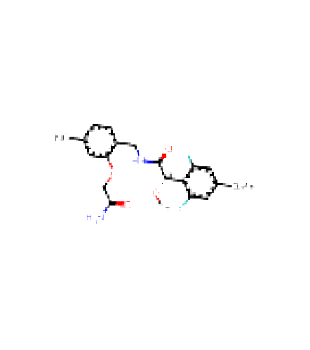 CCO[C@H](C(=O)NCc1ccc(C#N)cc1OCC(N)=O)c1c(F)cc(OC)cc1F